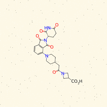 O=C1CCC(N2C(=O)c3cccc(N4CCC(CC(=O)N5CC(C(=O)O)C5)CC4)c3C2=O)C(=O)N1